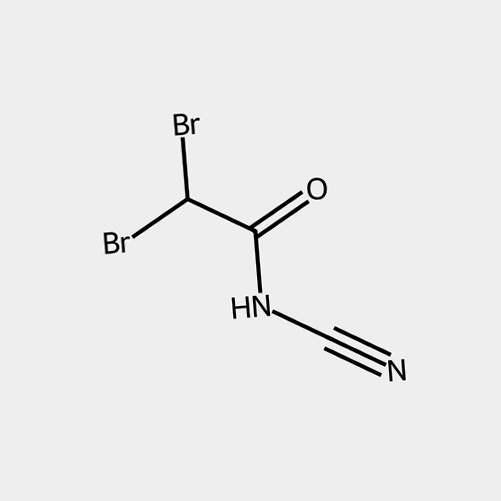 N#CNC(=O)C(Br)Br